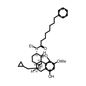 CCN(C(=O)CCCCCCCc1ccccc1)[C@H]1CC[C@H]2[C@H]3Cc4c(O)cc(OC)c5c4[C@@]2(CCN3CC2CC2)[C@H]1O5